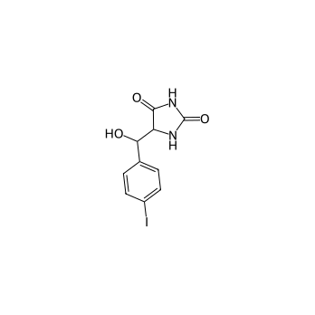 O=C1NC(=O)C(C(O)c2ccc(I)cc2)N1